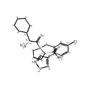 NC(=O)[C@@H]1CCC[N+]1(Cc1cc(Cl)ccc1-c1cnsn1)C(=O)[C@H](N)C1CCCCC1